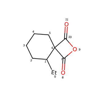 CCC1CCCCC12C(=O)OC2=O